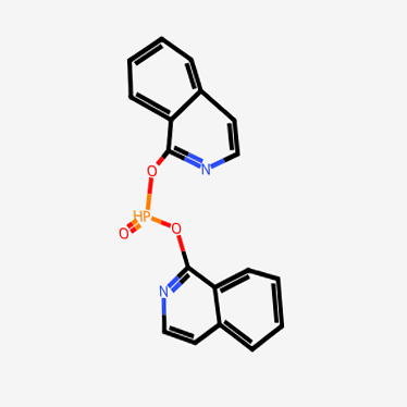 O=[PH](Oc1nccc2ccccc12)Oc1nccc2ccccc12